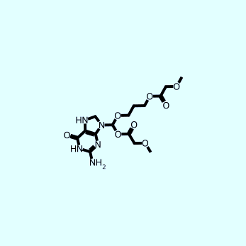 COCC(=O)OCCCOC(OC(=O)COC)N1CNc2c1nc(N)[nH]c2=O